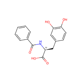 O=C(N[C@@H](Cc1ccc(O)c(O)c1)C(=O)O)c1ccccc1